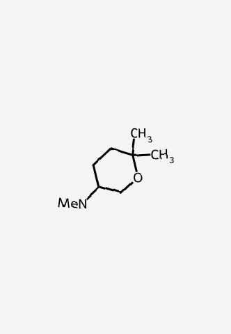 CNC1CCC(C)(C)OC1